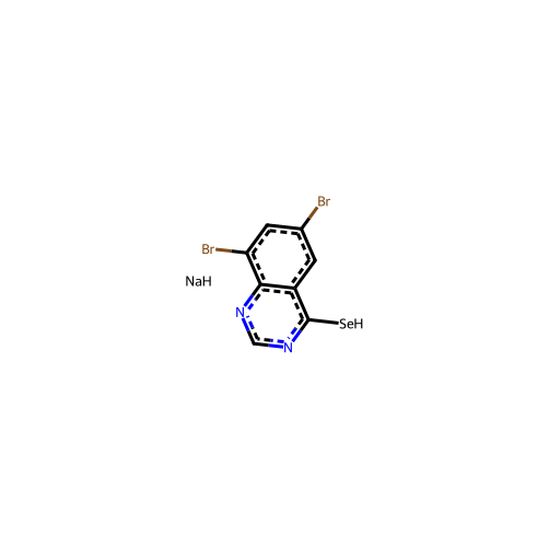 [NaH].[SeH]c1ncnc2c(Br)cc(Br)cc12